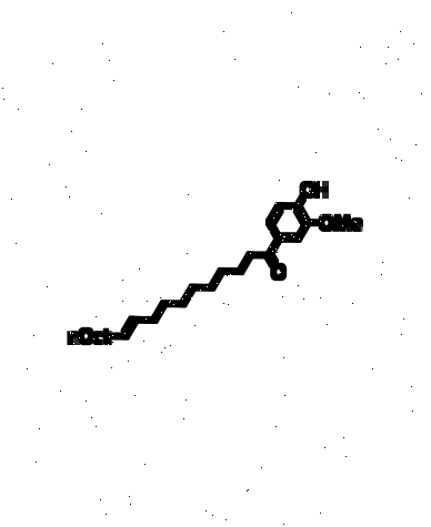 CCCCCCCCC=CCCCCCCCCC(=O)c1ccc(O)c(OC)c1